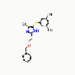 CCc1nc(CCOCc2ccccc2)[nH]c1Sc1cc(C#N)cc(C#N)c1